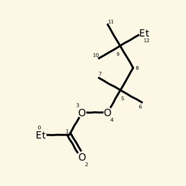 CCC(=O)OOC(C)(C)CC(C)(C)CC